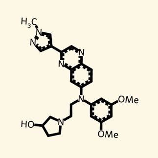 COc1cc(OC)cc(N(CCN2CCC(O)C2)c2ccc3ncc(-c4cnn(C)c4)nc3c2)c1